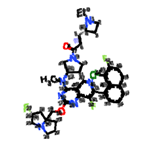 CCN1CC[C@@H]1/C=C/C(=O)N1CC[C@@H](N(C)c2nc(OC[C@@]34CCCN3C[C@H](F)C4)nc3c(F)c(-c4cccc5ccc(F)c(Cl)c45)ncc23)C1